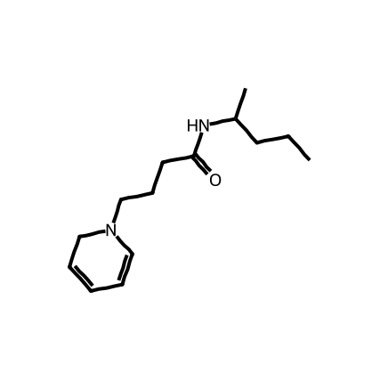 CCCC(C)NC(=O)CCCN1C=CC=CC1